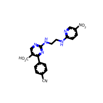 N#Cc1ccc(-c2nc(NCCNc3ccc([N+](=O)[O-])cn3)ncc2C(=O)O)cc1